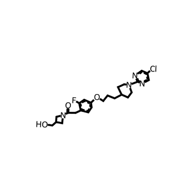 O=C(Cc1ccc(OCCCC2CCN(c3ncc(Cl)cn3)CC2)cc1F)N1CC(CO)C1